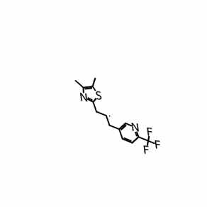 Cc1nc(C[CH]Cc2ccc(C(F)(F)F)nc2)sc1C